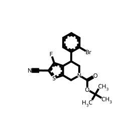 CC(C)(C)OC(=O)N1Cc2sc(C#N)c(F)c2C(c2ccccc2Br)C1